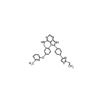 C=Cc1nc(-c2ccc(-c3[nH]c4ncnc5c4c3-c3ccc(Oc4cccc(C)n4)cc3CN5)cc2)cs1